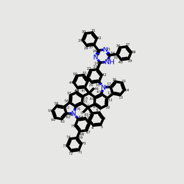 CC1(c2ccccc2)c2ccc3c4ccccc4n(-c4cccc(C5N=C(c6ccccc6)N=C(c6ccccc6)N5)c4)c3c2C(C)(c2ccccc2)c2ccc3c4ccccc4n(-c4cccc(-c5ccccc5)c4)c3c21